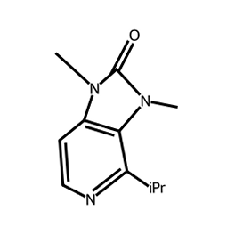 CC(C)c1nccc2c1n(C)c(=O)n2C